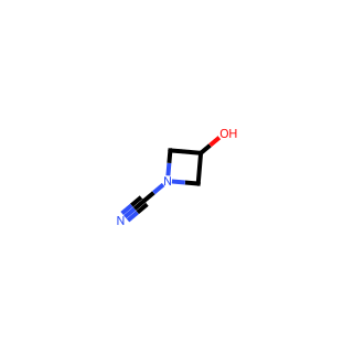 N#CN1CC(O)C1